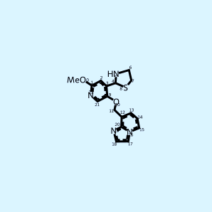 COc1cc(C2NCCS2)c(OCc2cccn3ccnc23)cn1